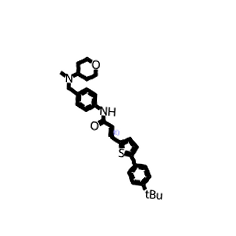 CN(Cc1ccc(NC(=O)/C=C/c2ccc(-c3ccc(C(C)(C)C)cc3)s2)cc1)C1CCOCC1